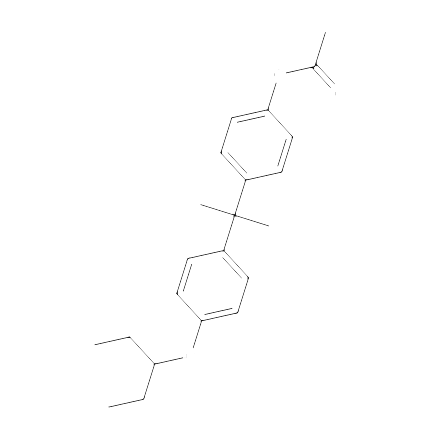 CCC(CC)Oc1ccc(C(C)(C)c2ccc(OC(C)=O)cc2)cc1